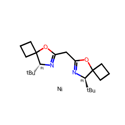 CC(C)(C)[C@H]1N=C(CC2=N[C@H](C(C)(C)C)C3(CCC3)O2)OC12CCC2.[Ni]